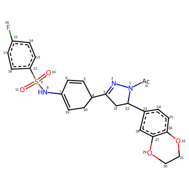 CC(=O)N1N=C(C2C=CC(NS(=O)(=O)c3ccc(F)cc3)=CC2)CC1c1ccc2c(c1)OCCO2